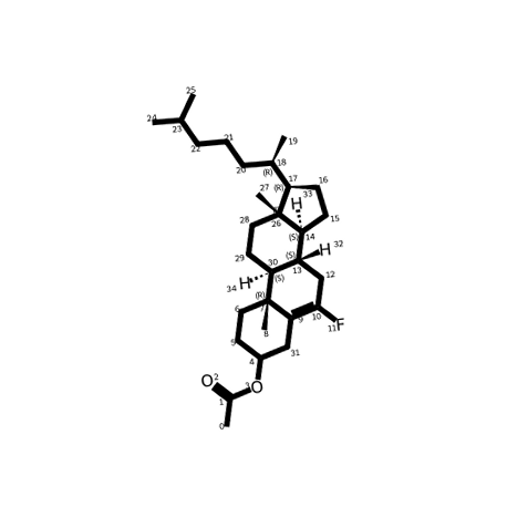 CC(=O)OC1CC[C@@]2(C)C(=C(F)C[C@H]3[C@@H]4CC[C@H]([C@H](C)CCCC(C)C)[C@@]4(C)CC[C@@H]32)C1